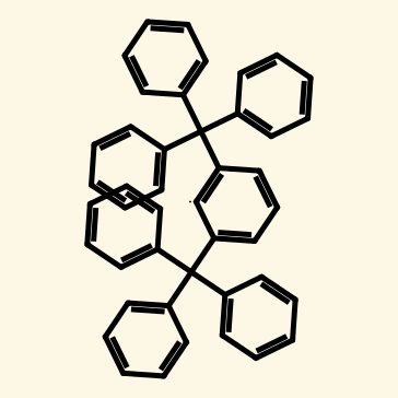 [c]1c(C(c2ccccc2)(c2ccccc2)c2ccccc2)cccc1C(c1ccccc1)(c1ccccc1)c1ccccc1